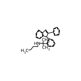 CCCCNC(C)(C)c1ccccc1C1C(c2ccccc2)=Cc2ccccc21